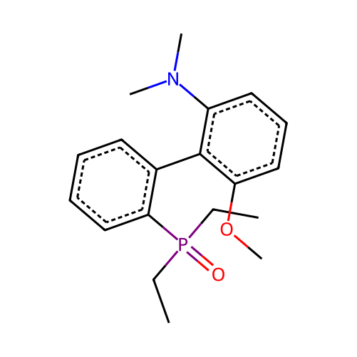 CCP(=O)(CC)c1ccccc1-c1c(OC)cccc1N(C)C